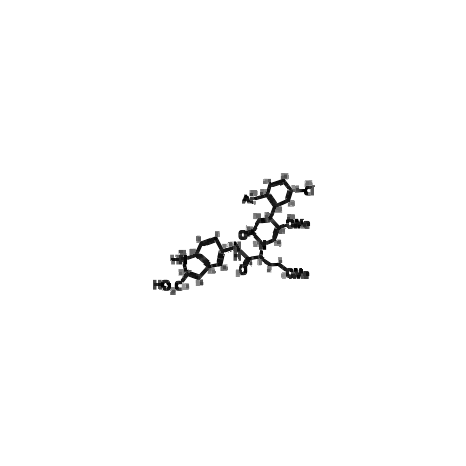 COCCC(C(=O)Nc1ccc2[nH]c(C(=O)O)cc2c1)n1cc(OC)c(-c2cc(Cl)ccc2C(C)=O)cc1=O